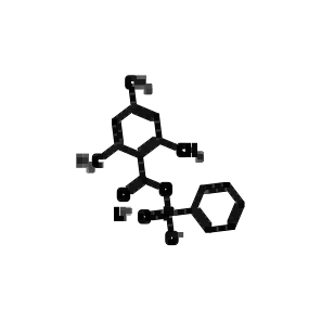 Cc1cc(C)c(C(=O)OP(=O)([O-])c2ccccc2)c(C)c1.[Li+]